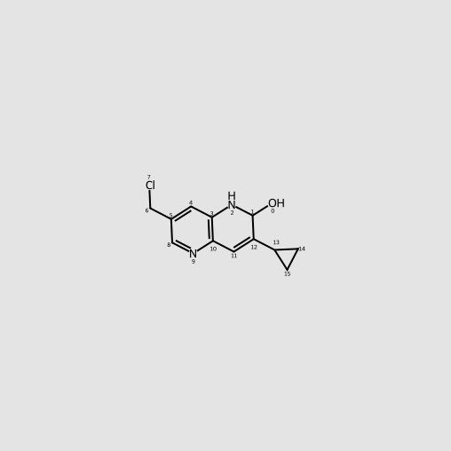 OC1Nc2cc(CCl)cnc2C=C1C1CC1